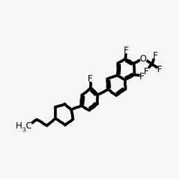 CCCC1CCC(c2ccc(-c3ccc4c(F)c(OC(F)(F)F)c(F)cc4c3)c(F)c2)CC1